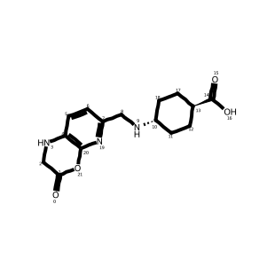 O=C1CNc2ccc(CN[C@H]3CC[C@H](C(=O)O)CC3)nc2O1